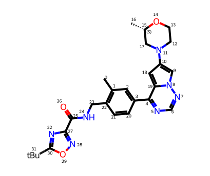 Cc1cc(-c2ncnn3cc(N4CCO[C@@H](C)C4)cc23)ccc1CNC(=O)c1noc(C(C)(C)C)n1